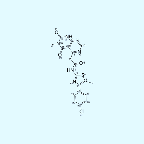 Cc1sc(NC(=O)Cc2nccc3[nH]c(=O)n(C)c(=O)c23)nc1-c1ccc(Cl)cc1